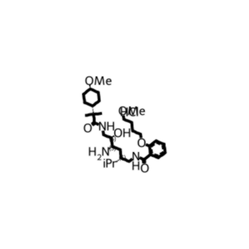 COCCCCOc1ccccc1C(=O)NC[C@@H](C[C@H](N)[C@@H](O)CNC(=O)C(C)(C)[C@H]1CC[C@@H](OC)CC1)C(C)C.Cl